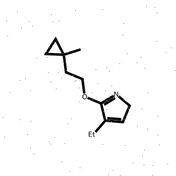 CCC1=CCN=C1OCCC1(C)CC1